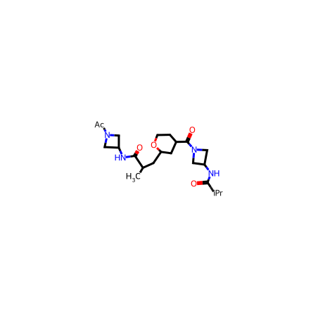 CC(=O)N1CC(NC(=O)C(C)CC2CC(C(=O)N3CC(NC(=O)C(C)C)C3)CCO2)C1